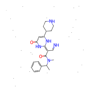 CC(c1ccccc1)N(C)C(=O)/C(C=N)=C1\NC(=O)C=C(C2CCNCC2)N1